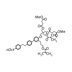 C=C(C)C(=O)OCCCc1cc(-c2ccc(CCc3ccc(CCCCCCCC)cc3)cc2)ccc1OCC(COC(=O)CCC(=O)OC)(COC(=O)CCC(=O)OC)COC(=O)C(=C)C